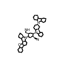 N#Cc1cc(-n2c3ccccc3c3c4oc5ccccc5c4ccc32)c(C=N)cc1-n1c2ccccc2c2cc(-n3c4ccccc4c4ccccc43)ccc21